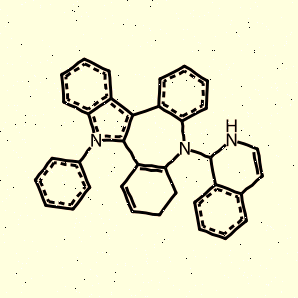 C1=CC2=C(CC1)N(C1NC=Cc3ccccc31)c1ccccc1-c1c2n(-c2ccccc2)c2ccccc12